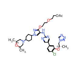 CC(=O)OCCOCCCOc1nn(C2CCC(N3C[C@@H](C)O[C@@H](C)C3)CC2)cc1Nc1ncc(-c2ccc(Cl)c(O[C@@H](C)Cn3cnnn3)c2)cn1